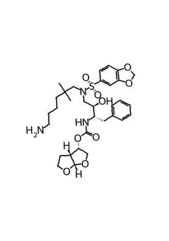 CC(C)(CCCCN)CN(C[C@@H](O)[C@H](Cc1ccccc1)NC(=O)O[C@@H]1CO[C@@H]2OCC[C@@H]21)S(=O)(=O)c1ccc2c(c1)OCO2